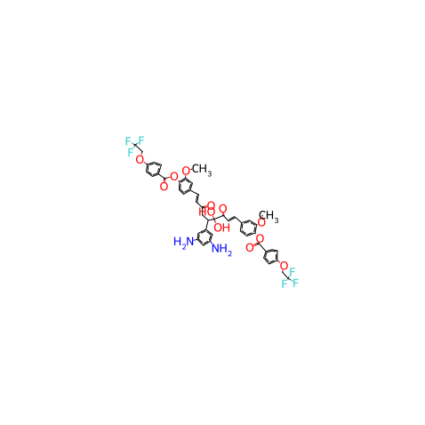 COc1cc(C=CC(=O)CC(c2cc(N)cc(N)c2)C(O)(O)C(=O)C=Cc2ccc(OC(=O)c3ccc(OCC(F)(F)F)cc3)c(OC)c2)ccc1OC(=O)c1ccc(OCC(F)(F)F)cc1